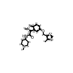 Cc1ncsc1COc1ccc2nn(C)c(C(=O)NC3CCN(C)CC3)c2c1